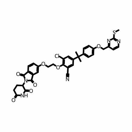 CSc1nccc(COc2ccc(C(C)(C)c3cc(Cl)c(OCCOc4ccc5c(c4)C(=O)N(C4CCC(=O)NC4=O)C5=O)c(C#N)c3)cc2)n1